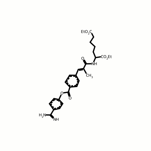 CCOC(=O)CCCCC(NC(=O)/C(C)=C/c1ccc(C(=O)Oc2ccc(C(=N)N)cc2)cc1)C(=O)OCC